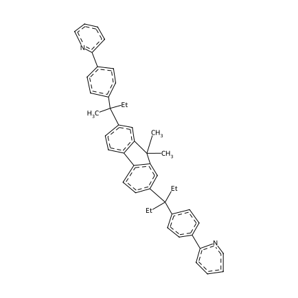 CCC(C)(c1ccc(-c2ccccn2)cc1)c1ccc2c(c1)C(C)(C)c1cc(C(CC)(CC)c3ccc(-c4ccccn4)cc3)ccc1-2